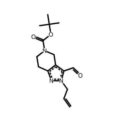 C=CCn1nc2c(c1C=O)CN(C(=O)OC(C)(C)C)CC2